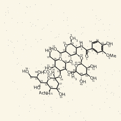 COc1cc(C(=O)NC2[C@H](C)OC(CO)[C@@H](O[C@@H]3OC(CO)[C@H](O)C(O[C@]4(C(=O)O)CC(O)[C@@H](NC(C)=O)C([C@H](O)[C@H](O)CO)O4)C3O)[C@@H]2O[C@@H]2OC(C)[C@@H](O)C(O)[C@@H]2O)ccc1O